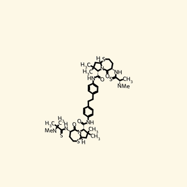 CN[C@@H](C)C(=S)N[C@H]1CCS[C@H]2CC(C)(C)[C@@H](C(=O)Nc3ccc(CCc4ccc(NC(=O)[C@H]5N6C(=O)[C@@H](NC(=S)C(C)(C)NC)CCS[C@H]6CC5(C)C)cc4)cc3)N2C1=O